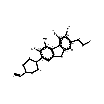 C=CC1CCC(c2cc3c(c(F)c2F)-c2c(cc(CCC)c(F)c2F)C3)CC1